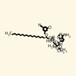 CCCCCCCCCCCCCCCCCC[C@H](COP(=O)(O)OC[C@@]1(C)O[C@@H](c2ccc3c(N)ncnn23)[C@@H]2OC(C)(C)O[C@@H]21)OCc1cc(Cl)cc(C#N)c1